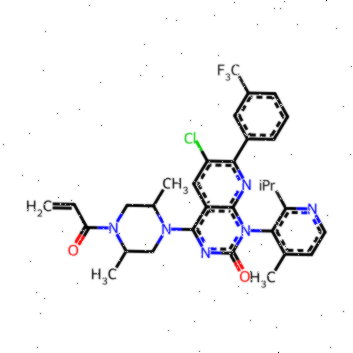 C=CC(=O)N1CC(C)N(c2nc(=O)n(-c3c(C)ccnc3C(C)C)c3nc(-c4cccc(C(F)(F)F)c4)c(Cl)cc23)CC1C